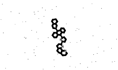 c1cc(-c2ccc3ccc4cccnc4c3n2)nc(-c2c3ccccc3c(-c3ccc4ccccc4c3)c3ccccc23)c1